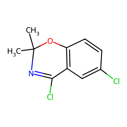 CC1(C)N=C(Cl)c2cc(Cl)ccc2O1